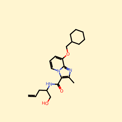 C=CCC(CO)NC(=O)c1c(C)nc2c(OCC3CCCCC3)cccn12